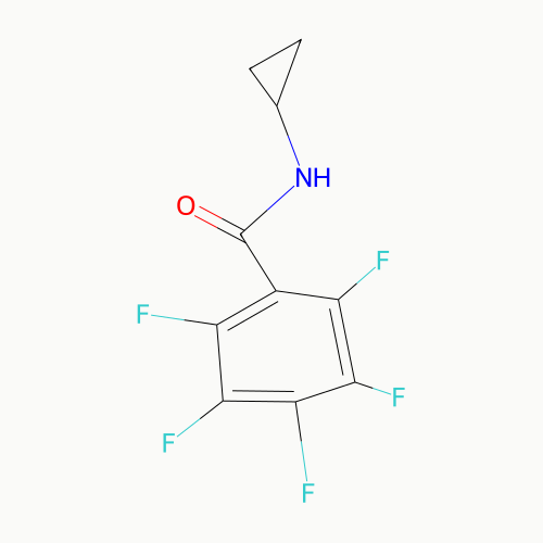 O=C(NC1CC1)c1c(F)c(F)c(F)c(F)c1F